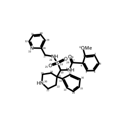 COc1ccccc1C(=O)NC(C1(c2ccccc2)CCNCC1)S(=O)(=O)NCc1ccccn1